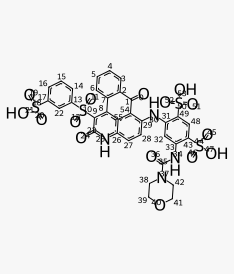 O=C1c2ccccc2-c2c(S(=O)(=O)c3cccc(S(=O)(=O)O)c3)c(=O)[nH]c3ccc(Nc4cc(NC(=O)N5CCOCC5)c(S(=O)(=O)O)cc4S(=O)(=O)O)c1c23